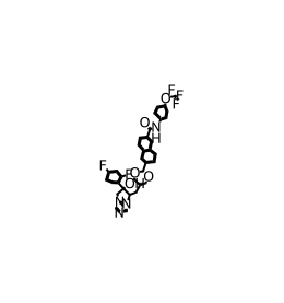 CC(CC1COC(c2ccc3cc(C(=O)Nc4ccc(OC(F)(F)F)cc4)ccc3c2)OC1)C(O)(Cn1cncn1)c1ccc(F)cc1F